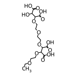 CCOCCOC(C(=O)O)C(OCCOCCOC(C(=O)O)C(O)C(=O)O)C(=O)O